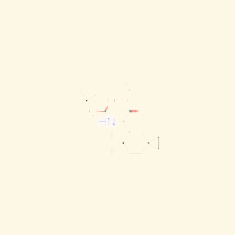 CCOC(=O)[C@@H](NC(=O)OC(C)(C)C)[C@@H]1CC2(CC2)CCC1(F)F